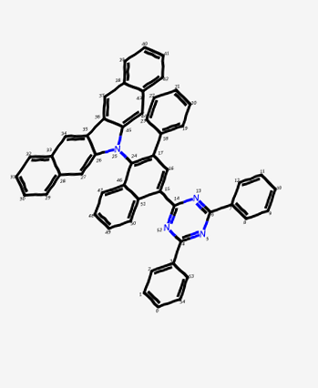 c1ccc(-c2nc(-c3ccccc3)nc(-c3cc(-c4ccccc4)c(-n4c5cc6ccccc6cc5c5cc6ccccc6cc54)c4ccccc34)n2)cc1